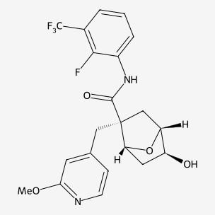 COc1cc(C[C@]2(C(=O)Nc3cccc(C(F)(F)F)c3F)C[C@H]3O[C@@H]2C[C@@H]3O)ccn1